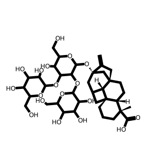 C=C1C[C@]23CC[C@H]4[C@]5(CCC[C@@]4(C)C(=O)O)CC(C[C@]1(OC1OC(CO)C(O)C(OC4OC(CO)C(O)C(O)C4O)C1OC1OC(CO)C(O)C(O)C1O)C2)[C@H]35